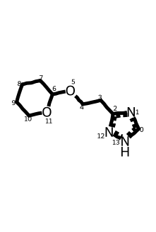 c1nc(CCOC2CCCCO2)n[nH]1